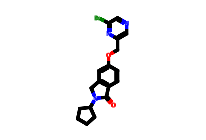 O=C1c2ccc(OCc3cncc(Br)n3)cc2CN1C1CCCC1